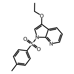 CCOc1cn(S(=O)(=O)c2ccc(C)cc2)c2ncccc12